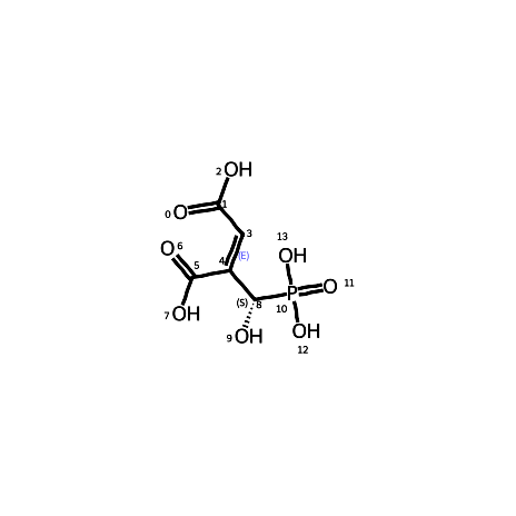 O=C(O)/C=C(\C(=O)O)[C@@H](O)P(=O)(O)O